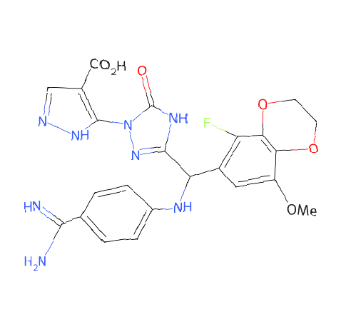 COc1cc(C(Nc2ccc(C(=N)N)cc2)c2nn(-c3[nH]ncc3C(=O)O)c(=O)[nH]2)c(F)c2c1OCCO2